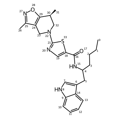 CCCCC(Cc1c[nH]c2ccccc12)NC(=O)c1cnc(N2Cc3c(C)noc3[C@@H](C)C2)s1